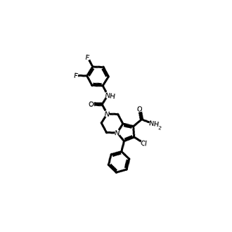 NC(=O)c1c(Cl)c(-c2ccccc2)n2c1CN(C(=O)Nc1ccc(F)c(F)c1)CC2